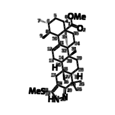 COC(=O)C12CC[C@@H](C)[C@H](C)C1C1=CC[C@@H]3[C@@]4(C)Cc5c(n[nH]c5SC)C(C)(C)[C@@H]4CC[C@@]3(C)[C@]1(C)CC2